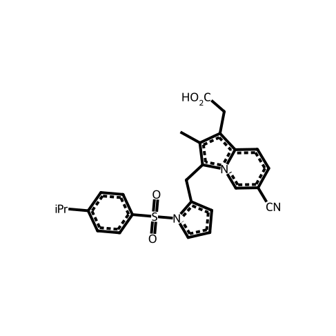 Cc1c(CC(=O)O)c2ccc(C#N)cn2c1Cc1cccn1S(=O)(=O)c1ccc(C(C)C)cc1